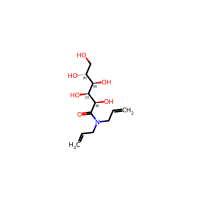 C=CCN(CC=C)C(=O)[C@H](O)[C@@H](O)[C@H](O)[C@H](O)CO